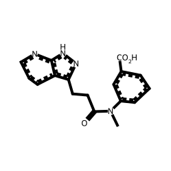 CN(C(=O)CCc1n[nH]c2ncccc12)c1cccc(C(=O)O)c1